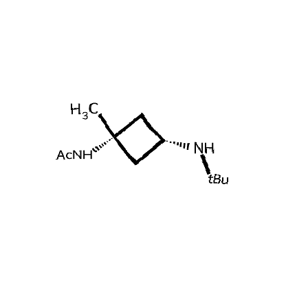 CC(=O)N[C@]1(C)C[C@H](NC(C)(C)C)C1